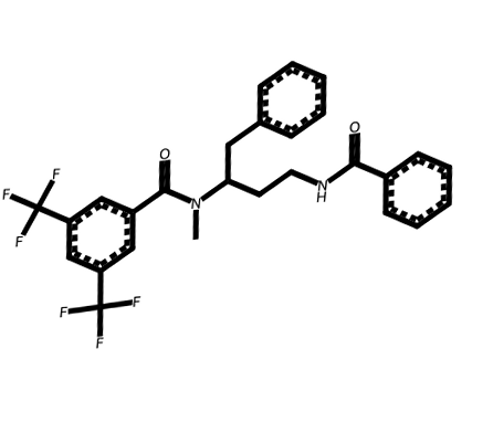 CN(C(=O)c1cc(C(F)(F)F)cc(C(F)(F)F)c1)C(CCNC(=O)c1ccccc1)Cc1ccccc1